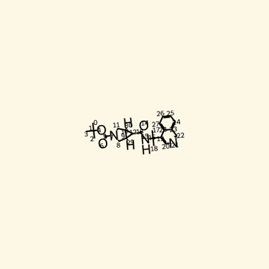 CC(C)(C)OC(=O)N1C[C@@H]2[C@H](C1)[C@H]2C(=O)NC(C)(C)c1cncc2ccccc12